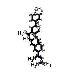 C=C(Nc1cc2cc(/C(N)=C/N(C)N)ccc2cn1)c1ccnc(C2=CCN(C)CC2)c1